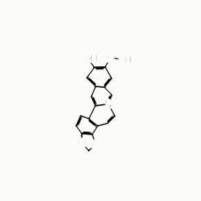 COc1cc2cc3c4ccc5c(c4cc[n+]3cc2cc1OC)OCO5